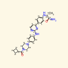 C[C@@H](Nc1ccc(-c2ccnc(Nc3ccc(N4CCN(C(=O)C5CCC5)CC4)cc3)n2)cc1)C(N)=O